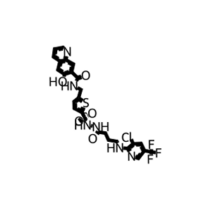 O=C(CCCNc1ncc(C(F)(F)F)cc1Cl)NNS(=O)(=O)c1ccc(CNC(=O)c2cc3ncccc3cc2O)s1